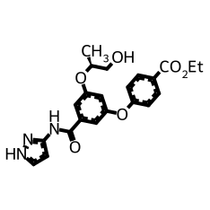 CCOC(=O)c1ccc(Oc2cc(O[C@@H](C)CO)cc(C(=O)Nc3cc[nH]n3)c2)cc1